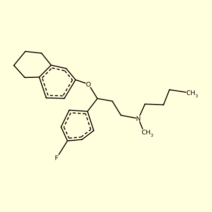 CCCCN(C)CCC(Oc1ccc2c(c1)CCCC2)c1ccc(F)cc1